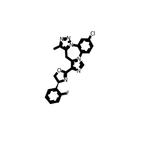 Cc1nnn2c1Cc1c(C3=N[C@@H](c4ccccc4F)CO3)ncn1-c1ccc(Cl)cc1-2